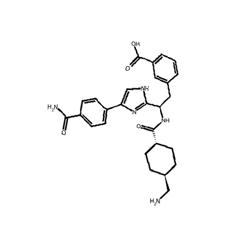 NC[C@H]1CC[C@H](C(=O)NC(Cc2cccc(C(=O)O)c2)c2nc(-c3ccc(C(N)=O)cc3)c[nH]2)CC1